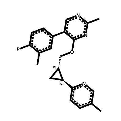 Cc1ccc([C@H]2C[C@@H]2COc2nc(C)ncc2-c2ccc(F)c(C)c2)nc1